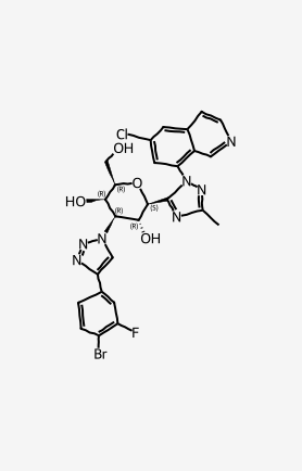 Cc1nc([C@@H]2O[C@H](CO)[C@H](O)[C@H](n3cc(-c4ccc(Br)c(F)c4)nn3)[C@H]2O)n(-c2cc(Cl)cc3ccncc23)n1